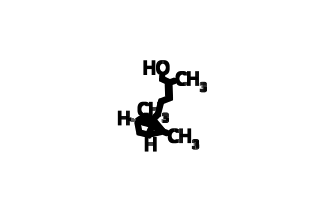 C/C(=C/CC[C@@]1(C)[C@@H]2CC3[C@@H](C2)C31C)CO